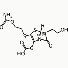 NC(=O)OCCSC1=C(OC(=O)O)N2C(=O)[C@H](CCO)[C@H]2S1